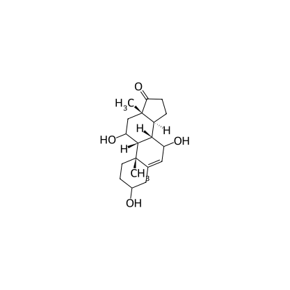 C[C@]12CCC(O)CC1=CC(O)[C@@H]1[C@H]2C(O)C[C@]2(C)C(=O)CC[C@@H]12